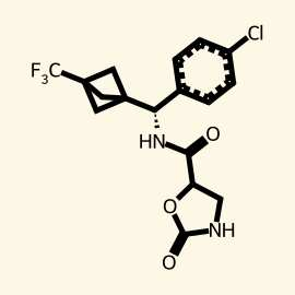 O=C1NCC(C(=O)N[C@@H](c2ccc(Cl)cc2)C23CC(C(F)(F)F)(C2)C3)O1